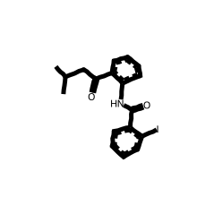 CC(C)CC(=O)c1ccccc1NC(=O)c1ccccc1I